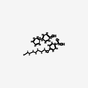 CCCCCCCCOc1ccc(C(=O)O)cc1.Oc1ccc(-c2ccccc2)cc1